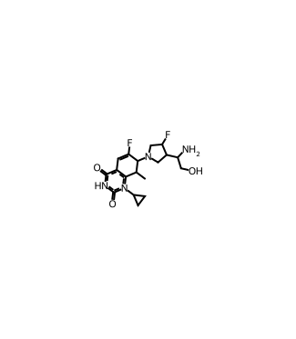 CC1c2c(c(=O)[nH]c(=O)n2C2CC2)C=C(F)C1N1CC(F)C(C(N)CO)C1